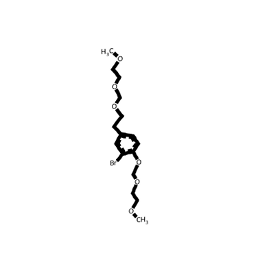 COCCOCOCCc1ccc(OCOCCOC)c(Br)c1